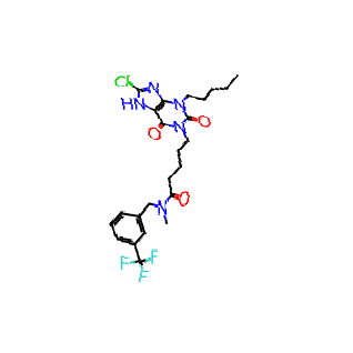 CCCCCn1c(=O)n(CCCCC(=O)N(C)Cc2cccc(C(F)(F)F)c2)c(=O)c2[nH]c(Cl)nc21